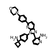 Nc1ncccc1-c1nc2ccc(-c3ccc(N4CCOCC4)cc3)nc2n1-c1ccc(C2(N)CCC2)cc1